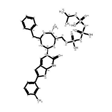 Cc1cccc(C2=CC3=CN([C@H]4OC(Cc5ccccc5)O[C@H](C)[C@@H](COP(=O)(O)OP(=O)(O)OP(=O)(O)OC(C)C)O4)C(=O)NC3O2)c1